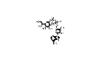 Nc1ncnc2c1ncn2[C@@H]1O[C@H](COP(=O)(O)OP(=O)(O)O[C@@H]2O[C@H]([C@@H](O)CO)[C@@H](O)[C@H](O)[C@@H]2O)[C@@H](O)[C@H]1O